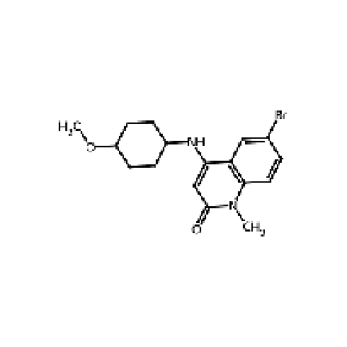 COC1CCC(Nc2cc(=O)n(C)c3ccc(Br)cc23)CC1